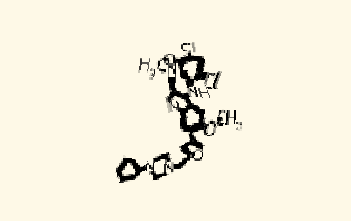 COc1cc(Nc2c(C#N)cnc3cc(-c4coc(CN5CCN(c6ccccc6)CC5)c4)c(OC)cc23)c(Cl)cc1Cl